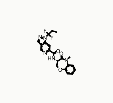 CCC(F)(F)n1ncc2cnc(C(=O)N[C@H]3COc4ccccc4N(C)C3=O)cc21